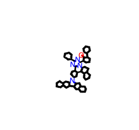 c1ccc(-c2nc(-c3ccc(-n4c5cc6ccccc6cc5c5cc6ccccc6cc54)cc3-c3cccc4ccccc34)nc(-c3cccc4c3oc3ccccc34)n2)cc1